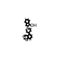 OC1c2ccccc2CC1N1CCC(c2cccc3c2COCO3)CC1